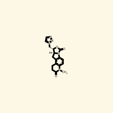 CN1C(=O)CCc2c1ccc1c2C[C@H]2[C@H](Cn3ccnn3)OC(=O)N12